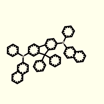 c1ccc(N(c2ccc3c(c2)C(c2ccccc2)(c2ccccc2)c2cc(N(c4ccccc4)c4ccc5ccccc5c4)ccc2-3)c2ccc3ccccc3c2)cc1